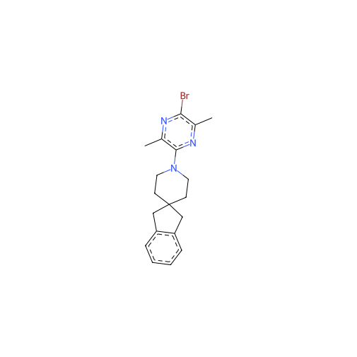 Cc1nc(N2CCC3(CC2)Cc2ccccc2C3)c(C)nc1Br